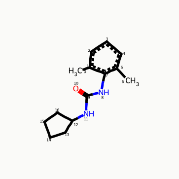 Cc1cccc(C)c1NC(=O)NC1CCCC1